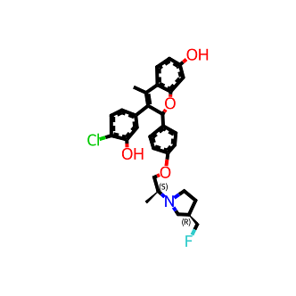 CC1=C(c2ccc(Cl)c(O)c2)C(c2ccc(OC[C@H](C)N3CC[C@@H](CF)C3)cc2)Oc2cc(O)ccc21